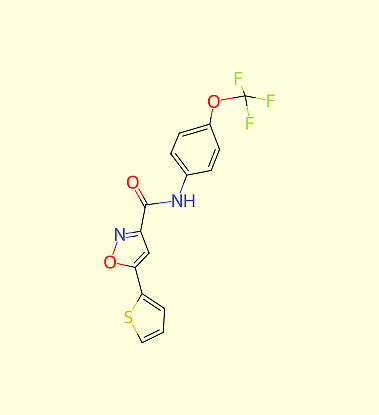 O=C(Nc1ccc(OC(F)(F)F)cc1)c1cc(-c2cccs2)on1